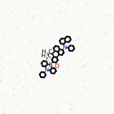 CC1(C)c2cc3c(cc2-c2ccc(N(c4ccccc4)c4cccc5ccccc45)c4cccc1c24)Oc1cccc2c1B3c1ccccc1N2c1ccccc1